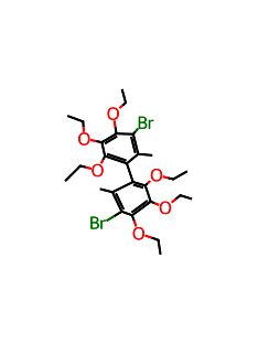 CCOc1c(Br)c(C)c(-c2c(C)c(Br)c(OCC)c(OCC)c2OCC)c(OCC)c1OCC